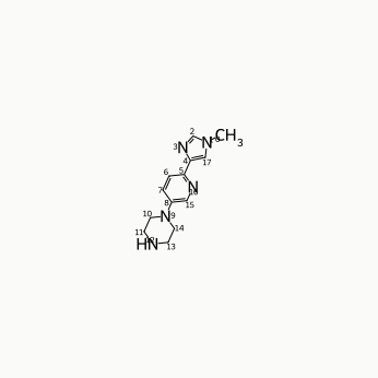 Cn1cnc(-c2ccc(N3CCNCC3)cn2)c1